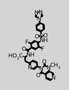 Cn1c(=O)n(-c2ccc(C[C@H](NC(=O)c3cc(F)c(NS(=O)(=O)c4ccc(-n5cnnc5)cc4)cc3F)C(=O)O)nc2)c(=O)c2ccncc21